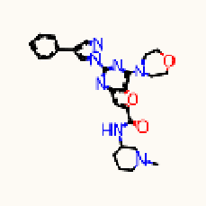 CN1CCCC(NC(=O)c2cc3nc(-n4cc(-c5ccccc5)cn4)nc(N4CCOCC4)c3o2)C1